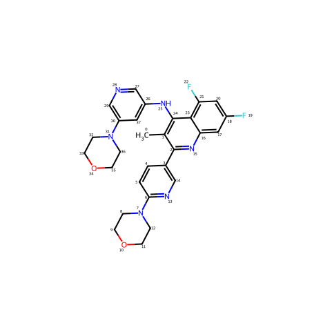 Cc1c(-c2ccc(N3CCOCC3)nc2)nc2cc(F)cc(F)c2c1Nc1cncc(N2CCOCC2)c1